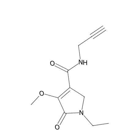 C#CCNC(=O)C1=C(OC)C(=O)N(CC)C1